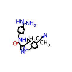 CC(C)(C#N)c1ccc(Cn2ncc(C(=O)NCc3ccc(C(=N)N)cc3)c2C2CC2)cc1